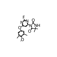 COc1c(C)cc(Oc2cc(N3C(=O)NC(C)(C)C3=O)nc(F)n2)cc1C